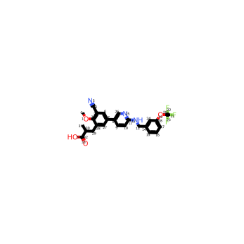 COc1c(C#N)cc(-c2ccc(NCc3cccc(OC(F)(F)F)c3)nc2)cc1CC(C)C(=O)O